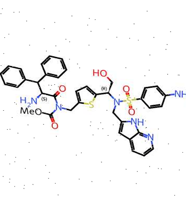 COC(=O)N(Cc1ccc([C@@H](CO)N(Cc2cc3cccnc3[nH]2)S(=O)(=O)c2ccc(N)cc2)s1)C(=O)[C@@H](N)C(c1ccccc1)c1ccccc1